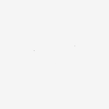 O=C(c1ccc2[nH]ccc2c1)c1ccc2[nH]ccc2c1